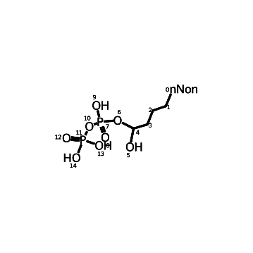 CCCCCCCCCCCCC(O)OP(=O)(O)OP(=O)(O)O